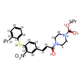 CC(C)OC(=O)N1CCN(C(=O)C=Cc2ccc(Sc3ccccc3C(C)C)c([N+](=O)[O-])c2)CC1